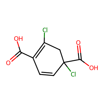 O=C(O)C1=C(Cl)CC(Cl)(C(=O)O)C=C1